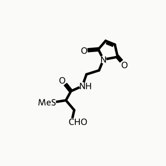 CSC(CC=O)C(=O)NCCN1C(=O)C=CC1=O